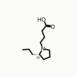 CCC[C@H]1CCCN1CCCC(=O)O